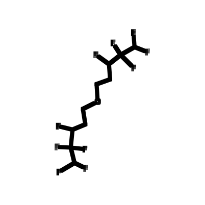 FC(F)C(F)(F)C(F)CCOCCC(F)C(F)(F)C(F)F